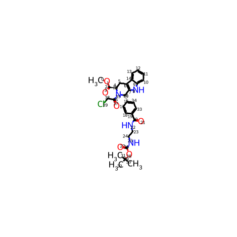 COC(=O)[C@H]1Cc2c([nH]c3ccccc23)[C@H](c2ccc(C(=O)NCCNC(=O)OC(C)(C)C)cc2)N1C(=O)CCl